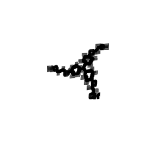 OCCOc1ccc(C(c2ccc(OCCO)cc2)c2ccc(OCCO)cc2)cc1